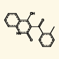 Cc1ccccc1C(=O)c1c(O)c2ccccc2[nH]c1=O